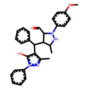 COc1ccc(N2NC(C)C(C(c3ccccc3)c3c(C)nn(-c4ccccc4)c3O)C2C=O)cc1